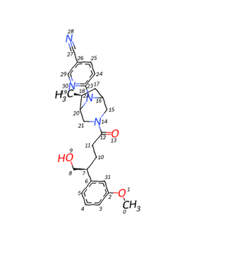 COc1cccc([C@@H](CO)CCC(=O)N2CC3C[C@H](C)C(C2)N3c2ccc(C#N)cn2)c1